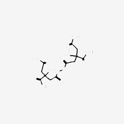 O=C(O)CC(O)(CC(=O)OOC(=O)CC(O)(CC(=O)O)C(=O)O)C(=O)O